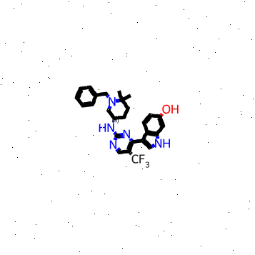 CC1(C)CC[C@H](Nc2ncc(C(F)(F)F)c(-c3c[nH]c4cc(O)ccc34)n2)CN1Cc1ccccc1